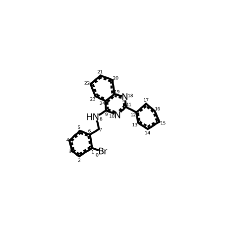 Brc1ccccc1CNc1nc(-c2ccccc2)nc2ccccc12